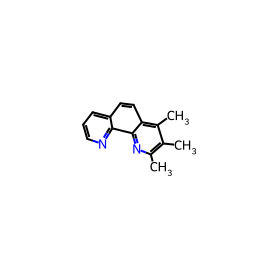 Cc1nc2c(ccc3cccnc32)c(C)c1C